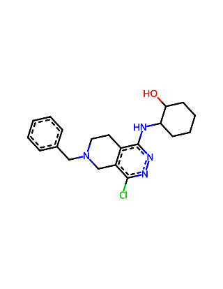 OC1CCCCC1Nc1nnc(Cl)c2c1CCN(Cc1ccccc1)C2